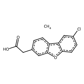 C.O=C(O)Cc1ccc2c(c1)oc1ccc(Cl)cc12